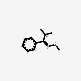 CO/N=C(/c1ccccc1)C(C)C